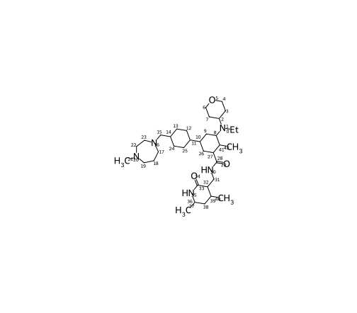 CCN(C1CCOCC1)C1CC(C2CCC(CN3CCCN(C)CC3)CC2)CC(C(=O)NCC2C(=O)NC(C)CC2C)C1C